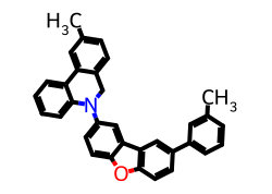 Cc1cccc(-c2ccc3oc4ccc(N5Cc6ccc(C)cc6-c6ccccc65)cc4c3c2)c1